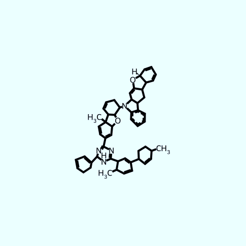 CC1C=CC(C2=CC(C3=NC(C4=CC5OC6C(N7c8ccccc8C8CC9C(=CC87)O[C@H]7C=CC=CC97)CC=CC6C5(C)C=C4)=NC(C4=CC=CCC4)N3)C(C)C=C2)CC1